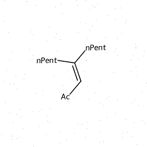 CCCCCC(=CC(C)=O)CCCCC